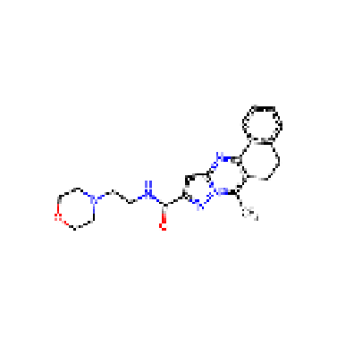 O=C(NCCN1CCOCC1)c1cc2nc3c(c(C(F)(F)F)n2n1)CCc1ccccc1-3